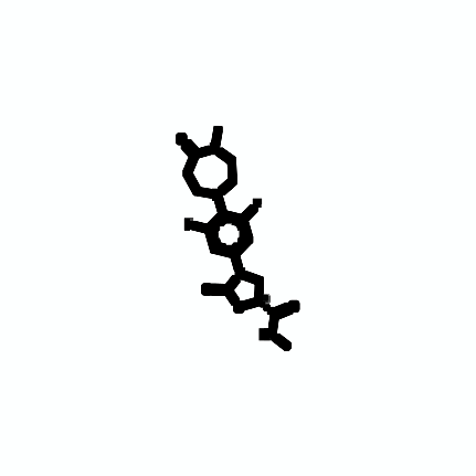 CNC(=O)[C@H]1CN(c2cc(F)c(N3CCC(=O)N(C)CC3)c(F)c2)C(=O)O1